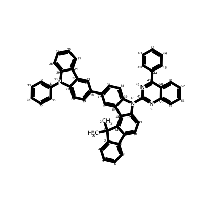 CC1(C)c2ccccc2-c2ccc3c(c21)c1cc(-c2ccc4c(c2)c2ccccc2n4-c2ccccc2)ccc1n3-c1nc(-c2ccccc2)c2ccccc2n1